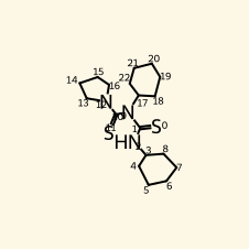 S=C(NC1CCCCC1)N(C(=S)N1CCCC1)C1CCCCC1